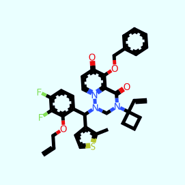 C=CCOc1c(C(c2ccsc2C)N2CN(C3(C=C)CCC3)C(=O)c3c(OCc4ccccc4)c(=O)ccn32)ccc(F)c1F